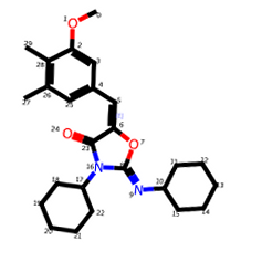 COc1cc(/C=C2/OC(=NC3CCCCC3)N(C3CCCCC3)C2=O)cc(C)c1C